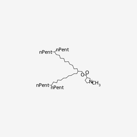 CCCCCC(CCCCC)CCCCCCCCCCC(CCCCCCCCCCC(CCCCC)CCCCC)COC(=O)C1CCN(C)C1